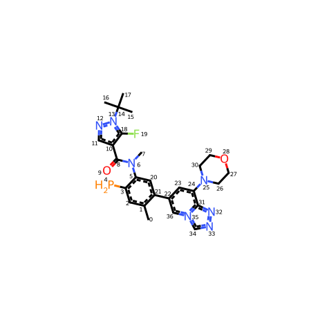 Cc1cc(P)c(N(C)C(=O)c2cnn(C(C)(C)C)c2F)cc1-c1cc(N2CCOCC2)c2nncn2c1